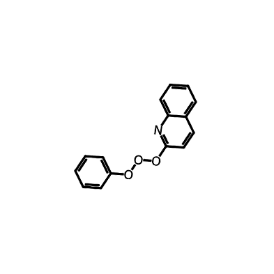 c1ccc(OOOc2ccc3ccccc3n2)cc1